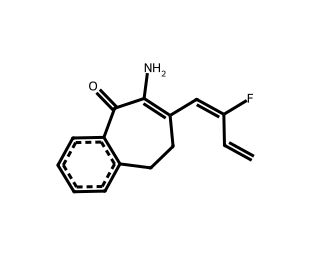 C=C/C(F)=C\C1=C(N)C(=O)c2ccccc2CC1